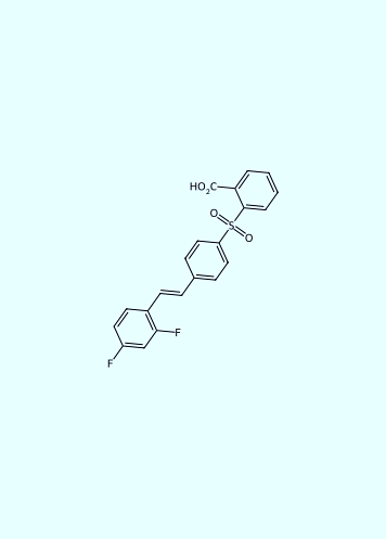 O=C(O)c1ccccc1S(=O)(=O)c1ccc(C=Cc2ccc(F)cc2F)cc1